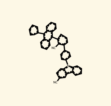 N#Cc1ccc2c(c1)c1ccccc1n2-c1ccc(-c2cccc(-c3c4ccccc4c(-c4ccccc4)c4ccccc34)c2C#N)cc1